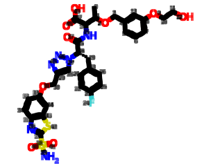 CC(OCc1cccc(OCCO)c1)C(NC(=O)[C@H](Cc1ccc(F)cc1)n1cc(COc2ccc3nc(S(N)(=O)=O)sc3c2)nn1)C(=O)O